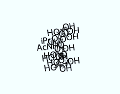 CC(=O)NC1[C@H](OC(C)C)OC(CO)[C@@H](O[C@@H]2O[C@@H](C)[C@@H](O)C(O)C2O)[C@@H]1O[C@@H]1OC(CO)[C@H](O)C(O[C@]2(C(=O)O)C[C@@H](O)[C@@H](C)C([C@H](O)[C@H](O)CO)O2)C1O